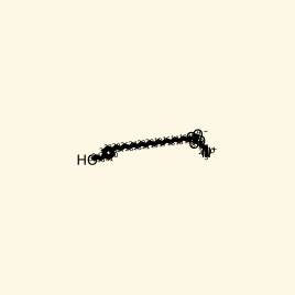 C[N+](C)(C)CCOP(=O)([O-])OCCCCCCCCCCCCCCCCCCc1ccc(CCO)cc1